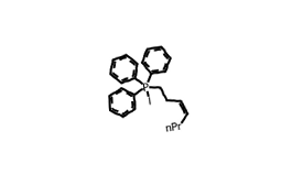 CCC/C=C\CCP(I)(c1ccccc1)(c1ccccc1)c1ccccc1